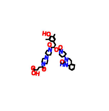 Cc1cc(C[C@@H](OC(=O)N2CCC(N3CCc4ccccc4NC3=O)CC2)C(=O)N2CCC(N3CCN(C(=O)CCC(=O)O)CC3)CC2)cc(C)c1O